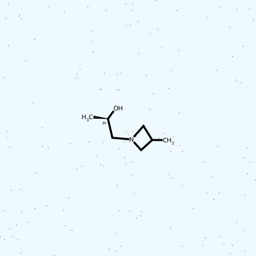 CC1CN(C[C@@H](C)O)C1